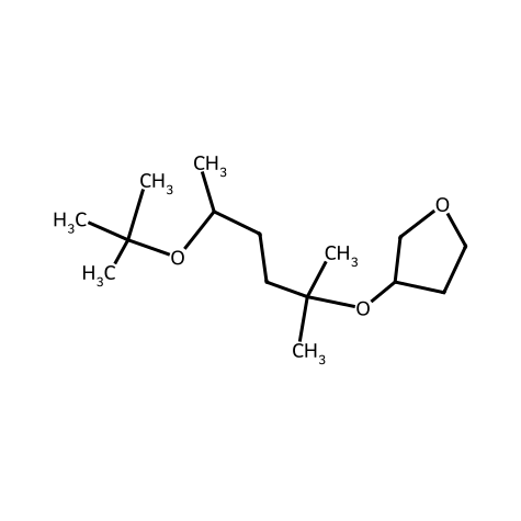 CC(CCC(C)(C)OC1CCOC1)OC(C)(C)C